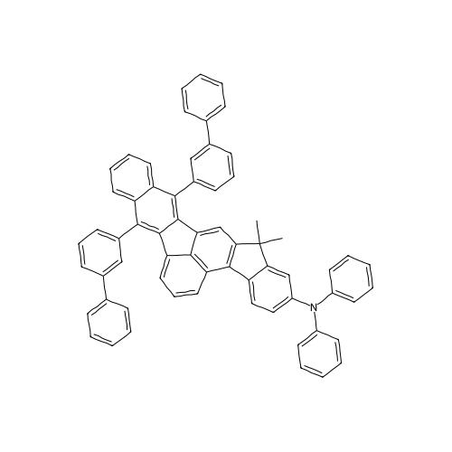 CC1(C)c2cc(N(c3ccccc3)c3ccccc3)ccc2-c2c1cc1c3c(cccc23)-c2c-1c(-c1cccc(-c3ccccc3)c1)c1ccccc1c2-c1cccc(-c2ccccc2)c1